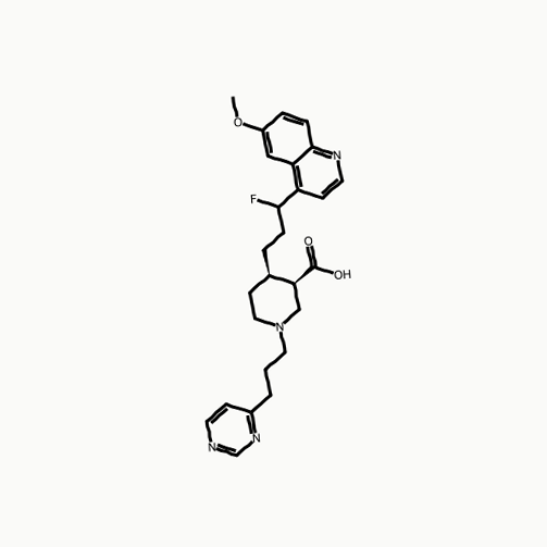 COc1ccc2nccc(C(F)CC[C@@H]3CCN(CCCc4ccncn4)C[C@@H]3C(=O)O)c2c1